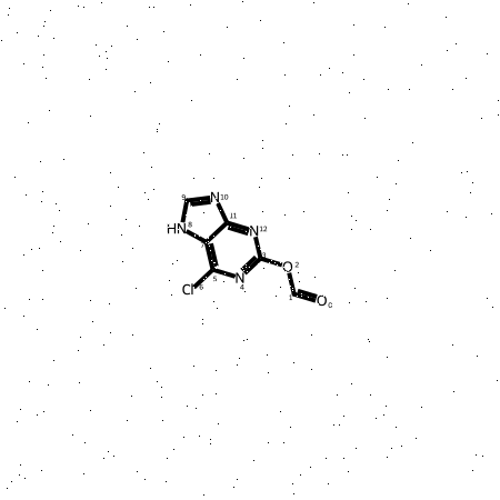 O=COc1nc(Cl)c2[nH]cnc2n1